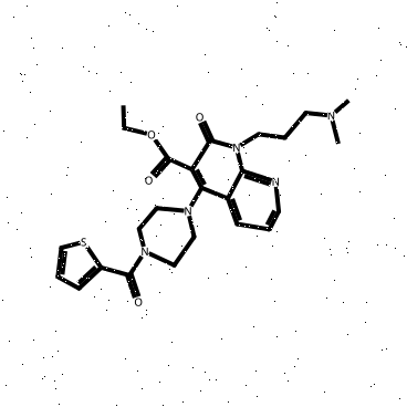 CCOC(=O)c1c(N2CCN(C(=O)c3cccs3)CC2)c2cccnc2n(CCCN(C)C)c1=O